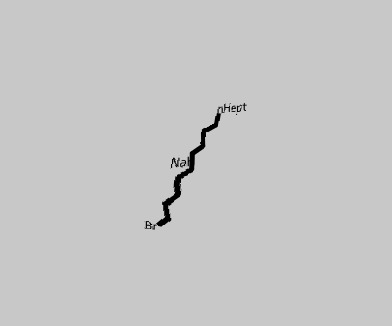 CCCCCCCCCCCCCCCCBr.[NaH]